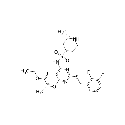 CCOC(=O)[C@@H](C)Oc1cc(NS(=O)(=O)N2CCN[C@@H](C)C2)nc(SCc2cccc(F)c2F)n1